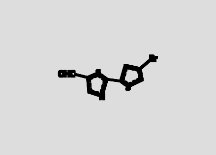 O=Cc1cnc(-c2cc(Br)cs2)s1